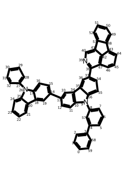 c1ccc(-c2cccc(-n3c4ccc(-c5ccc6c(c5)c5ccccc5n6-c5ccccc5)cc4c4cc(-c5ncc6c7c(cccc57)-c5ccccc5-6)ccc43)c2)cc1